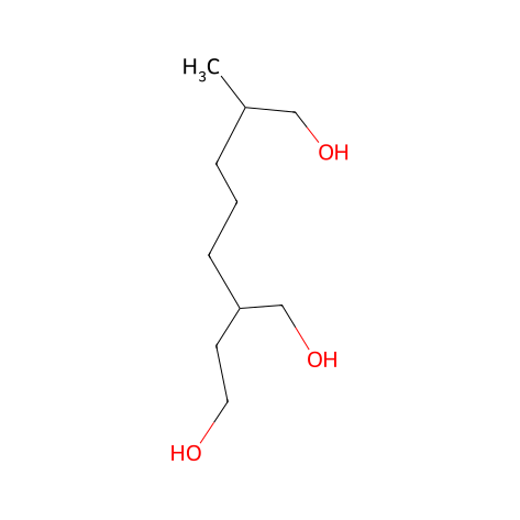 CC(CO)CCCC(CO)CCO